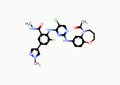 CNC(=O)c1cc(-c2cnn(C)c2)cc(F)c1Nc1nc(Nc2ccc3c(c2)N(C(C)=O)CCCO3)ncc1Cl